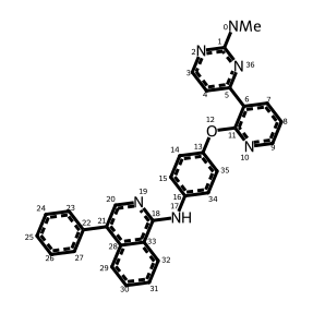 CNc1nccc(-c2cccnc2Oc2ccc(Nc3ncc(-c4ccccc4)c4ccccc34)cc2)n1